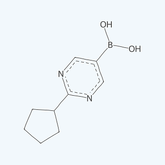 OB(O)c1cnc(C2CCCC2)nc1